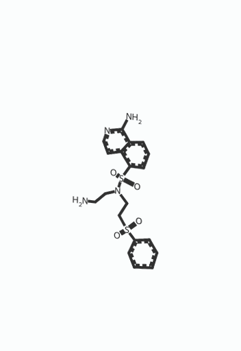 NCCN(CCS(=O)(=O)c1ccccc1)S(=O)(=O)c1cccc2c(N)nccc12